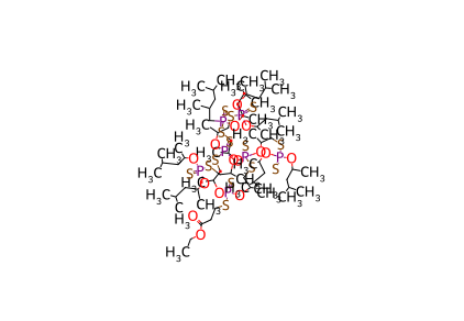 CCOC(=O)CCSP(=S)(OC(C)CSP(=S)(OC(C)CSP(=S)(CC(C)CC(C)C)OC(C)CC(C)C)OC(C)CSP(=S)(OC(C)CC(C)C)OC(C)CC(C)C)OC(C)CSP(=S)(OC(C)CSP(=S)(OC(C)CC(C)C)OC(C)CC(C)C)OC(C)CSP(=S)(OC(C)CC(C)C)OC(C)CC(C)C